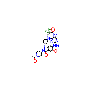 COc1cc(C(=O)NC2CCN(C(C)=O)CC2)ccc1Nc1ncc2c(n1)N(C1CCCC1)CC(F)(F)C(=O)N2C